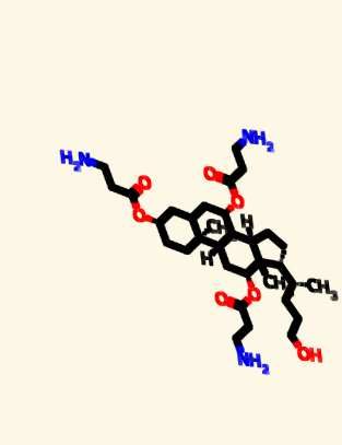 C[C@H](CCCO)[C@H]1CC[C@H]2C3[C@H](OC(=O)CCN)CC4C[C@H](OC(=O)CCN)CC[C@]4(C)[C@H]3C[C@H](OC(=O)CCN)C12C